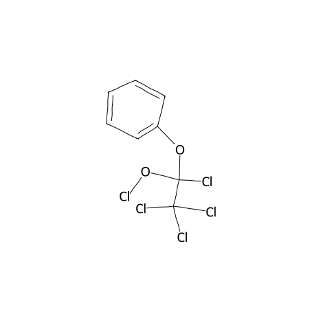 ClOC(Cl)(Oc1ccccc1)C(Cl)(Cl)Cl